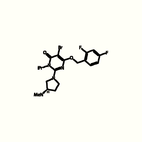 CN[C@@H]1CCN(c2nc(OCc3ccc(F)cc3F)c(Br)c(=O)n2C(C)C)C1